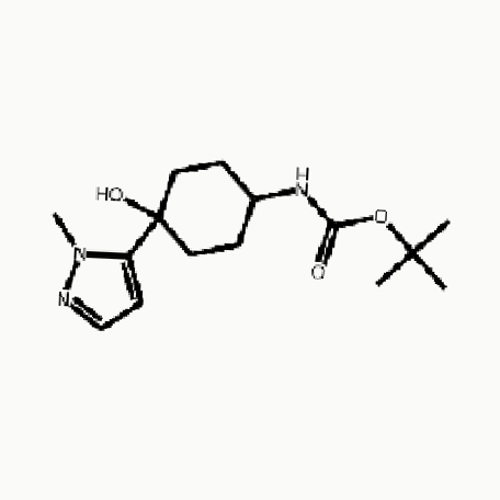 Cn1nccc1C1(O)CCC(NC(=O)OC(C)(C)C)CC1